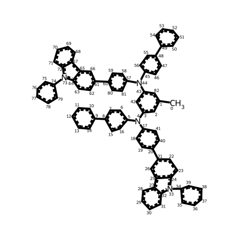 Cc1cc(N(c2ccc(-c3ccccc3)cc2)c2ccc(-c3ccc4c(c3)c3ccccc3n4-c3ccccc3)cc2)cc(N(c2ccc(-c3ccccc3)cc2)c2ccc(-c3ccc4c(c3)c3ccccc3n4-c3ccccc3)cc2)c1